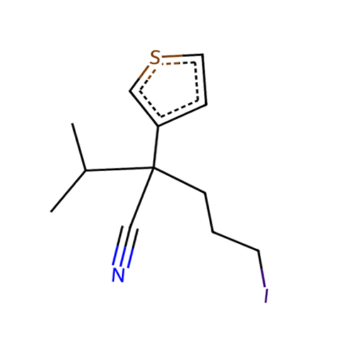 CC(C)C(C#N)(CCCI)c1ccsc1